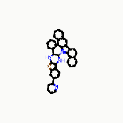 c1ccc(C2Nc3sc4cc(-c5ccccn5)ccc4c3NC2n2c3cc4ccccc4cc3c3ccc4ccccc4c32)cc1